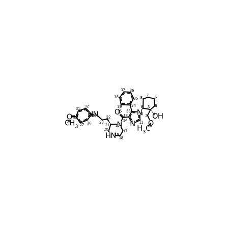 COC[C@]1(O)CCCC[C@H]1n1cnc(C(=O)N2CCNC[C@H]2CCNc2ccc(OC)cc2)c1-c1ccccc1